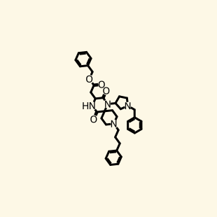 O=C(CC1NC(=O)C2(CCN(CCCc3ccccc3)CC2)N(C2CCN(Cc3ccccc3)C2)C1=O)OCc1ccccc1